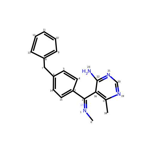 C/N=C(/c1ccc(Cc2ccccc2)cc1)c1c(C)ncnc1N